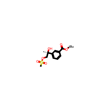 CC(C)(C)OC(=O)c1cccc([C@](C)(O)COS(C)(=O)=O)c1